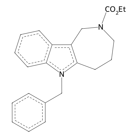 CCOC(=O)N1CCCc2c(c3ccccc3n2Cc2ccccc2)C1